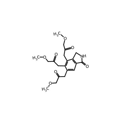 COCC(=O)Cc1cc2c(c(CC(=O)COC)c1CC(=O)COC)CNC2=O